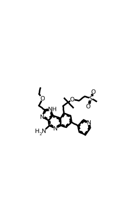 CCOCc1nc2c(N)nc3cc(-c4cccnc4)cc(CC(C)(C)OCCS(C)(=O)=O)c3c2[nH]1